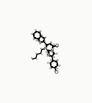 CCCCCn1c(-c2cc3ccccc3s2)cc(=O)n2cc(-c3ccc(Cl)cc3)nc12